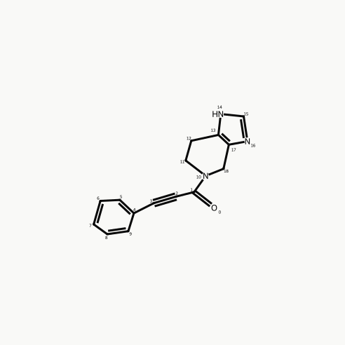 O=C(C#Cc1ccccc1)N1CCc2[nH]cnc2C1